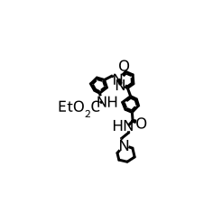 CCOC(=O)Nc1cccc(Cn2nc(-c3ccc(C(=O)NCCN4CCCCC4)cc3)ccc2=O)c1